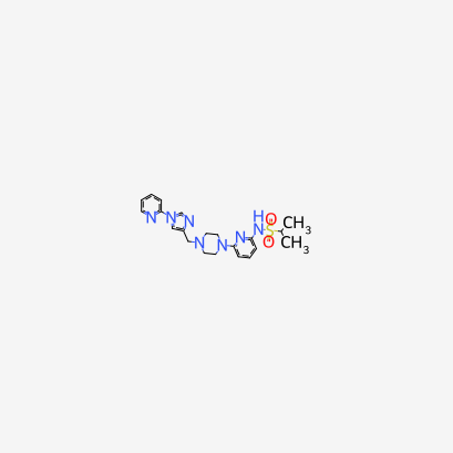 CC(C)S(=O)(=O)Nc1cccc(N2CCN(Cc3cn(-c4ccccn4)cn3)CC2)n1